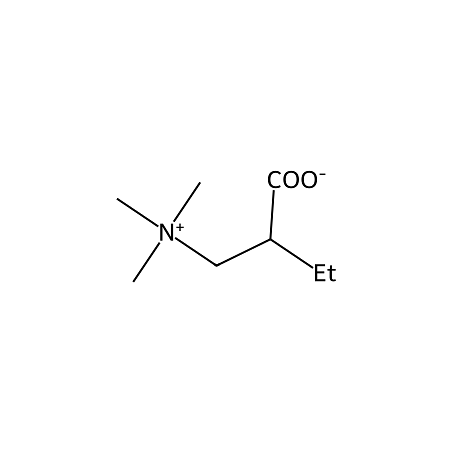 CCC(C[N+](C)(C)C)C(=O)[O-]